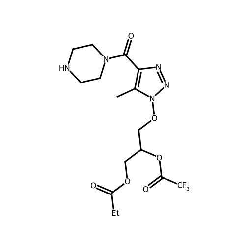 CCC(=O)OCC(COn1nnc(C(=O)N2CCNCC2)c1C)OC(=O)C(F)(F)F